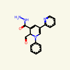 NNC(=O)C1=CC(c2ccccn2)=CN(c2ccccc2)C1C=O